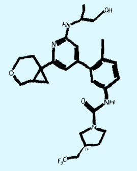 Cc1ccc(NC(=O)N2CC[C@@H](CC(F)(F)F)C2)cc1-c1cc(NC(C)CO)nc(C23CCOCC2C3)c1